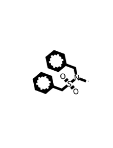 [CH2]N(Cc1ccccc1)S(=O)(=O)Cc1ccccc1